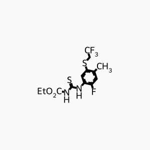 CCOC(=O)NC(=S)Nc1cc(SCC(F)(F)F)c(C)cc1F